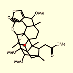 COC(=O)CC1C2(C)CC34OC5(C)OC67C(CC(=O)OC6C3(OC)C2OC)C(C)(C(OC)c2ccoc2)CCC7(O5)C14C